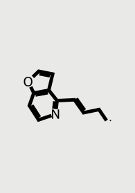 [CH2]CC=Cc1nccc2occc12